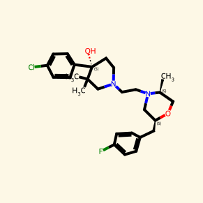 C[C@H]1CO[C@@H](Cc2ccc(F)cc2)CN1CCN1CC[C@](O)(c2ccc(Cl)cc2)C(C)(C)C1